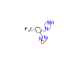 FC(F)(F)c1ccc(CN2CCNCC2)c(-c2ncon2)c1